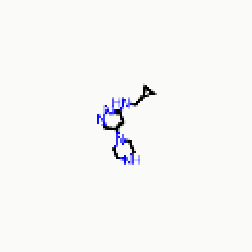 c1nnc(NCC2CC2)cc1N1CCNCC1